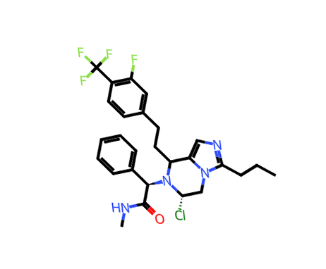 CCCc1ncc2n1C[C@H](Cl)N([C@@H](C(=O)NC)c1ccccc1)C2CCc1ccc(C(F)(F)F)c(F)c1